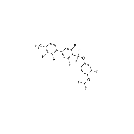 Cc1ccc(-c2cc(F)c(C(F)(F)Oc3ccc(OC(F)F)c(F)c3)c(F)c2)c(F)c1F